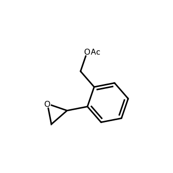 CC(=O)OCc1ccccc1C1CO1